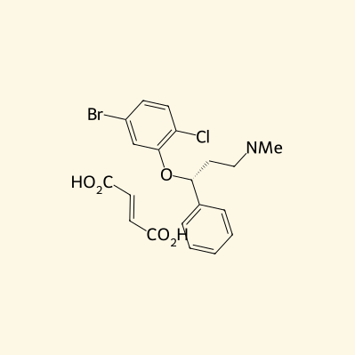 CNCC[C@@H](Oc1cc(Br)ccc1Cl)c1ccccc1.O=C(O)/C=C/C(=O)O